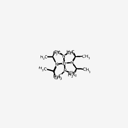 CC(C)[N](C(C)C)[Zr]([N](C)C)([N](C)C)[N](C(C)C)C(C)C